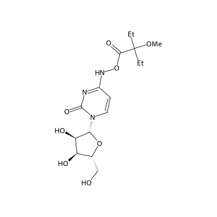 CCC(CC)(OC)C(=O)ONc1ccn([C@@H]2O[C@H](CO)[C@@H](O)[C@H]2O)c(=O)n1